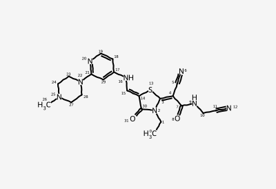 CCn1c(=C(C#N)C(=O)NCC#N)sc(=CNc2ccnc(N3CCN(C)CC3)c2)c1=O